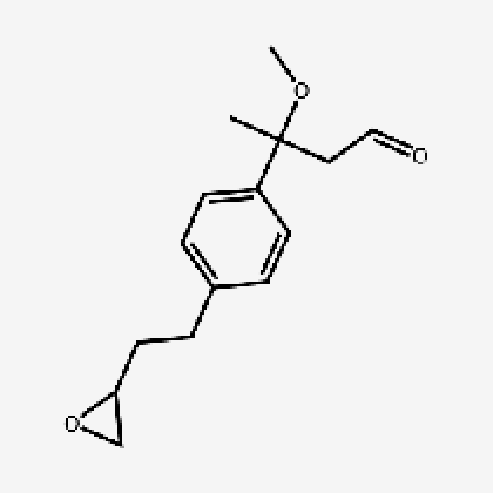 COC(C)(CC=O)c1ccc(CCC2CO2)cc1